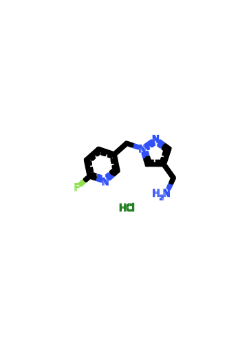 Cl.NCc1cnn(Cc2ccc(F)nc2)c1